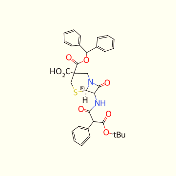 CC(C)(C)OC(=O)C(C(=O)NC1C(=O)N2CC(C(=O)O)(C(=O)OC(c3ccccc3)c3ccccc3)CS[C@H]12)c1ccccc1